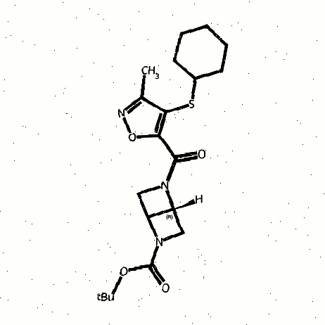 Cc1noc(C(=O)N2CC3[C@H]2CN3C(=O)OC(C)(C)C)c1SC1CCCCC1